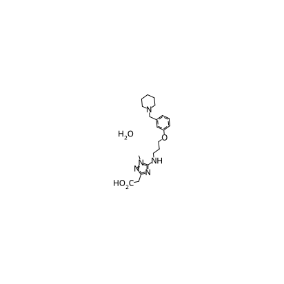 Cn1nc(CC(=O)O)nc1NCCCOc1cccc(CN2CCCCC2)c1.O